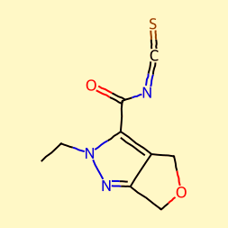 CCn1nc2c(c1C(=O)N=C=S)COC2